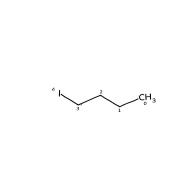 CCC[CH]I